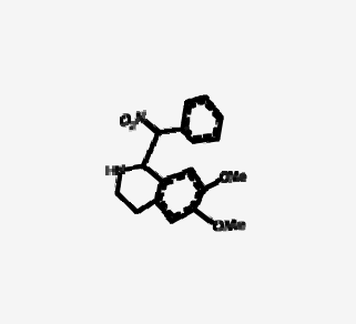 COc1cc2c(cc1OC)C(C(c1ccccc1)[N+](=O)[O-])NCC2